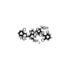 CN(Cc1c(Cl)cccc1Cl)c1nc(N)nc2c1ncn2[C@@H]1O[C@H](CO)[C@@H](OCc2c(Cl)cccc2Cl)[C@@]1(C)F